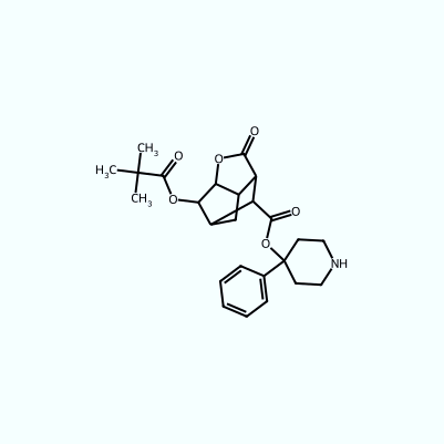 CC(C)(C)C(=O)OC1C2CC3C1OC(=O)C3C2C(=O)OC1(c2ccccc2)CCNCC1